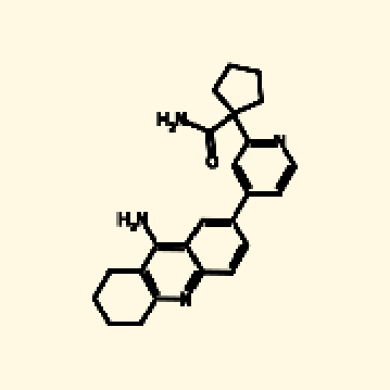 NC(=O)C1(c2cc(-c3ccc4nc5c(c(N)c4c3)CCCC5)ccn2)CCCC1